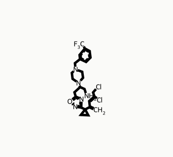 C=C(C=C(Cl)CCl)C1(c2noc(CC(CN)N3CCN(Cc4cccc(C(F)(F)F)c4)CC3)n2)CC1